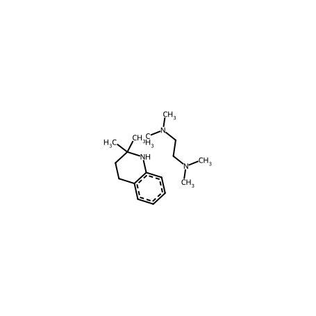 CC1(C)CCc2ccccc2N1.CN(C)CCN(C)C